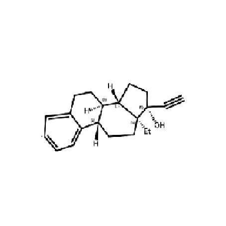 C#C[C@]1(O)CC[C@H]2[C@@H]3CCc4c[c]ccc4[C@H]3CC[C@@]21CC